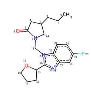 CCCC1CC(=O)N(Cn2c(C3CCCO3)nc3cc(F)ccc32)C1